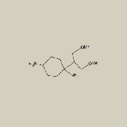 COCC(COC)C1(N)CCC(N)CC1